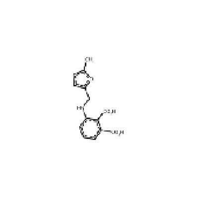 Cc1ccc(CNc2cccc(C(=O)O)c2C(=O)O)o1